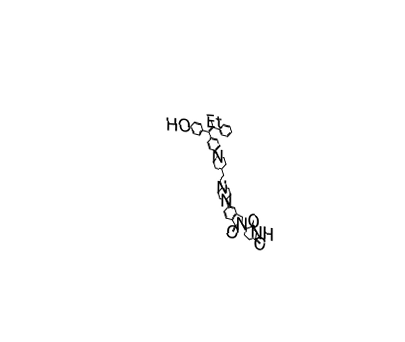 CCC(=C(c1ccc(O)cc1)c1ccc(N2CCC(CCN3CCN(c4ccc5c(c4)CN(C4CCC(=O)NC4=O)C5=O)CC3)CC2)cc1)c1ccccc1